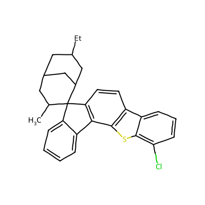 CCC1CC2CC(C)C3(c4ccccc4-c4c3ccc3c4sc4c(Cl)cccc43)C(C1)C2